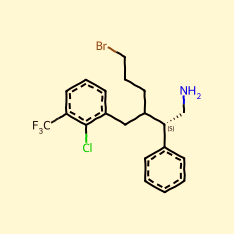 NC[C@H](c1ccccc1)C(CCCBr)Cc1cccc(C(F)(F)F)c1Cl